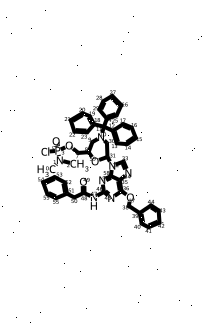 CN(C)P(=O)(Cl)OCC1CN(C(c2ccccc2)(c2ccccc2)c2ccccc2)CC(n2cnc3c(OCc4cc[c]cc4)nc(NC(=O)Cc4ccccc4)nc32)O1